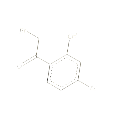 CC(=O)c1ccc(C(=O)CBr)c(C)c1